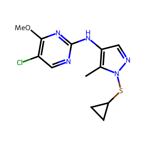 COc1nc(Nc2cnn(SC3CC3)c2C)ncc1Cl